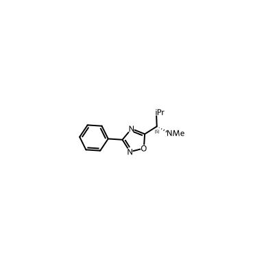 CN[C@H](c1nc(-c2ccccc2)no1)C(C)C